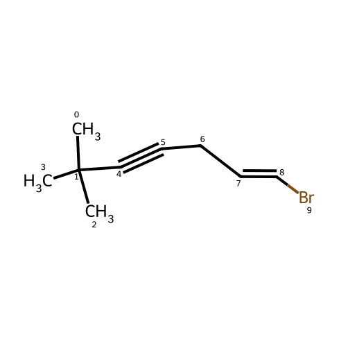 CC(C)(C)C#CCC=CBr